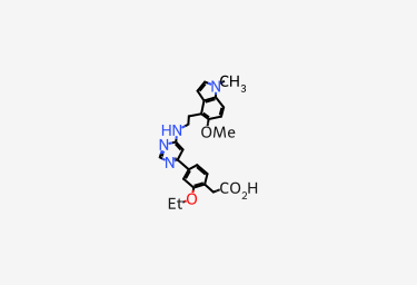 CCOc1cc(-c2cc(NCCc3c(OC)ccc4c3ccn4C)ncn2)ccc1CC(=O)O